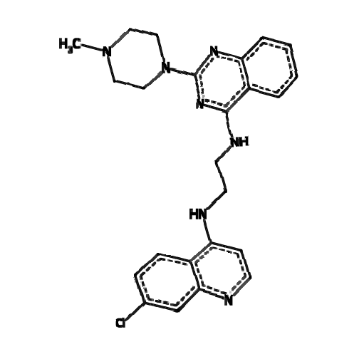 CN1CCN(c2nc(NCCNc3ccnc4cc(Cl)ccc34)c3ccccc3n2)CC1